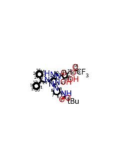 CC(C)(C)OC(=O)N[C@@H]1CCCN(c2nc(NCC(c3ccccc3)c3ccccc3)c3ncn([C@@H]4O[C@H](COC(=O)C(F)(F)F)[C@@H](O)[C@H]4O)c3n2)C1